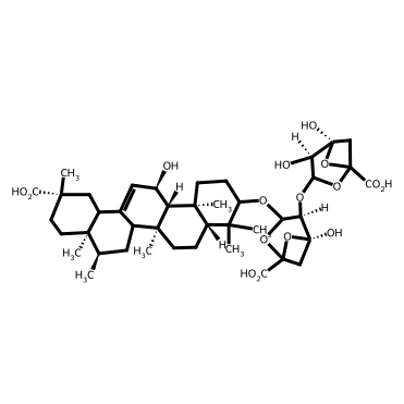 C[C@@H]1CC2C(=C[C@@H](O)[C@@H]3[C@@]4(C)CCC(OC5OC6(C(=O)O)C[C@@](O)(O6)[C@@H]5OC5OC6(C(=O)O)C[C@@](O)(O6)[C@@H]5O)C(C)(C)[C@@H]4CC[C@@]23C)C2C[C@@](C)(C(=O)O)CC[C@@]21C